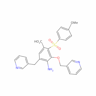 COc1ccc(S(=O)(=O)c2c(C(=O)O)cc(Cc3cccnc3)c(N)c2OCc2cccnc2)cc1